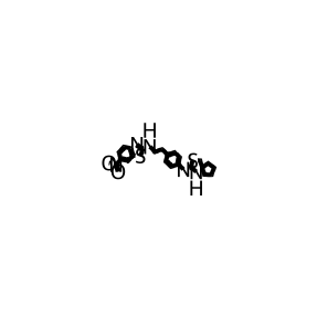 O=[N+]([O-])c1ccc2nc(NCCc3ccc(/N=C4/NC5(CCCC5)CS4)cc3)sc2c1